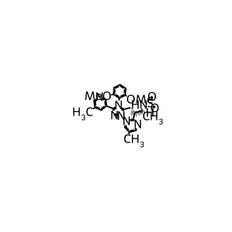 COc1cccc(OC)c1-n1c(C[C@@H](c2ncc(C)cn2)[C@@H](C)N[SH](=O)=O)nnc1-c1cncc(C)c1